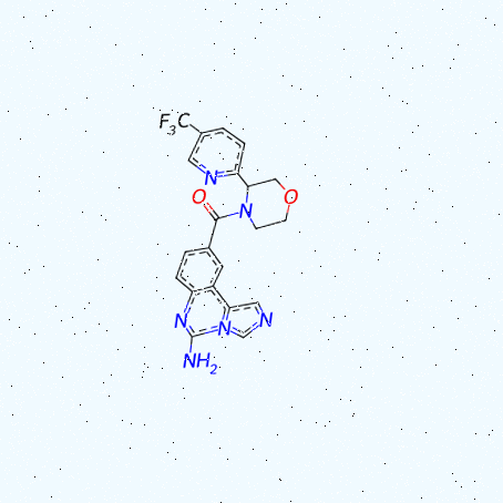 Nc1nc2ccc(C(=O)N3CCOCC3c3ccc(C(F)(F)F)cn3)cc2c2cncn12